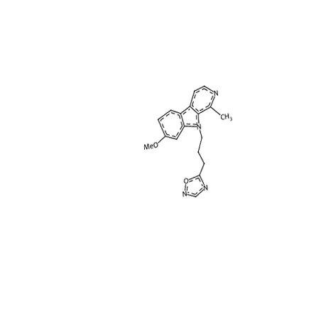 COc1ccc2c3ccnc(C)c3n(CCCc3ncno3)c2c1